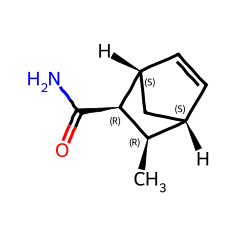 C[C@H]1[C@@H](C(N)=O)[C@@H]2C=C[C@H]1C2